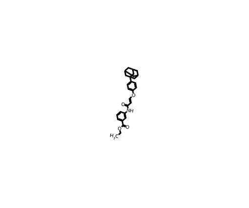 CCOC(=O)c1cccc(NC(=O)C=COc2ccc(C34CC5CC(CC(C5)C3)C4)cc2)c1